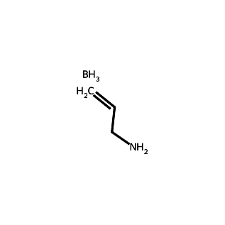 B.C=CCN